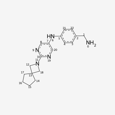 NCc1ccc(Nc2cnc(N3CC4(CCCC4)C3)nc2)cc1